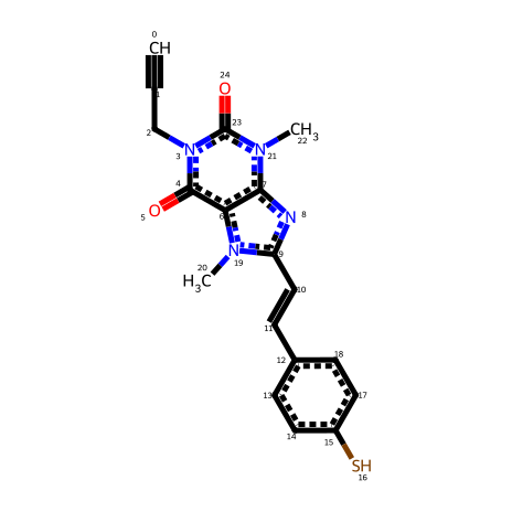 C#CCn1c(=O)c2c(nc(/C=C/c3ccc(S)cc3)n2C)n(C)c1=O